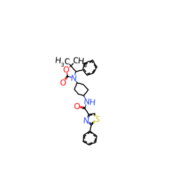 CC1(C)OC(=O)N(C2CCC(NC(=O)c3csc(-c4ccccc4)n3)CC2)C1c1ccccc1